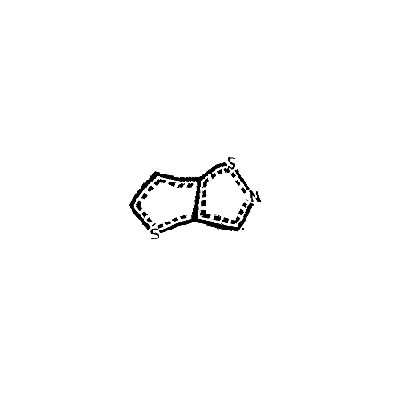 [c]1nsc2ccsc12